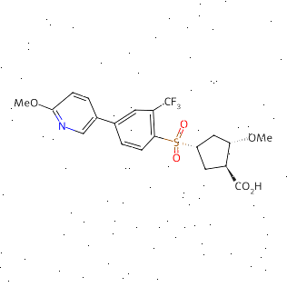 COc1ccc(-c2ccc(S(=O)(=O)[C@@H]3C[C@H](OC)[C@@H](C(=O)O)C3)c(C(F)(F)F)c2)cn1